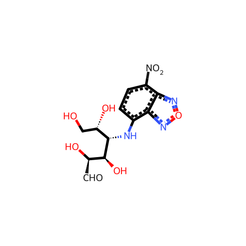 O=C[C@@H](O)[C@H](O)[C@@H](Nc1ccc([N+](=O)[O-])c2nonc12)[C@@H](O)CO